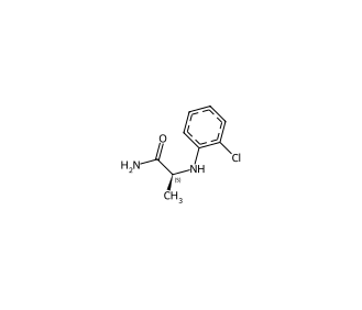 C[C@H](Nc1ccccc1Cl)C(N)=O